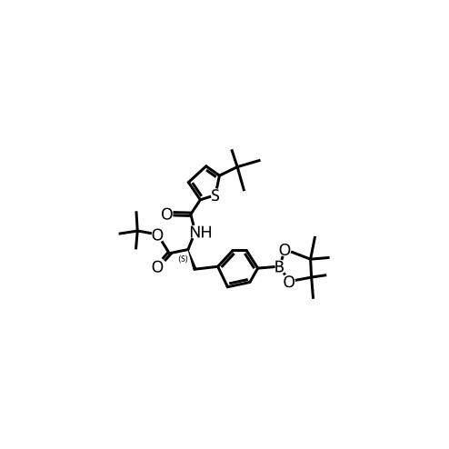 CC(C)(C)OC(=O)[C@H](Cc1ccc(B2OC(C)(C)C(C)(C)O2)cc1)NC(=O)c1ccc(C(C)(C)C)s1